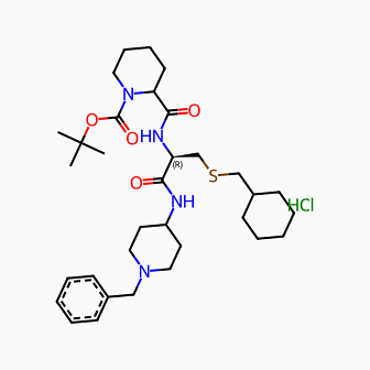 CC(C)(C)OC(=O)N1CCCCC1C(=O)N[C@@H](CSCC1CCCCC1)C(=O)NC1CCN(Cc2ccccc2)CC1.Cl